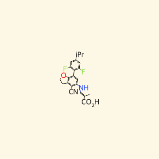 CC(=CNc1cc(-c2c(F)cc(C(C)C)cc2F)c2c(c1C#N)CCO2)C(=O)O